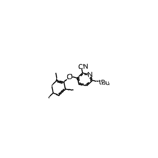 CC1=CC(C)CC(C)=C1Oc1ccc(C(C)(C)C)nc1C#N